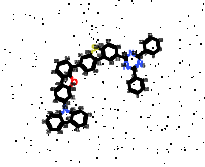 c1ccc(-c2nc(-c3ccccc3)nc(-c3ccc4sc5cc(-c6cccc7c6oc6cc(-n8c9ccccc9c9ccccc98)ccc67)ccc5c4c3)n2)cc1